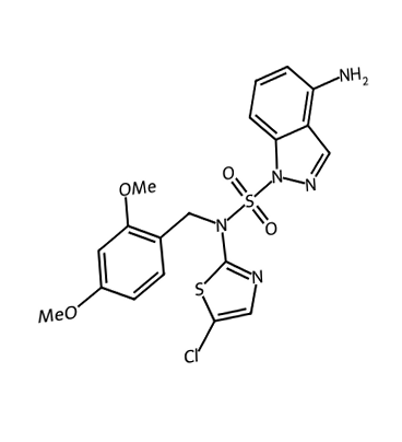 COc1ccc(CN(c2ncc(Cl)s2)S(=O)(=O)n2ncc3c(N)cccc32)c(OC)c1